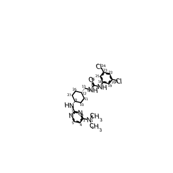 CN(C)c1ccnc(N[C@H]2CC[C@@H](CNC(=O)Nc3cc(Cl)cc(Cl)c3)CC2)n1